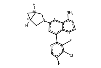 Nc1ncnc2c(-c3ccc(F)c(Cl)c3F)cc(N3C[C@H]4C[C@H]4C3)nc12